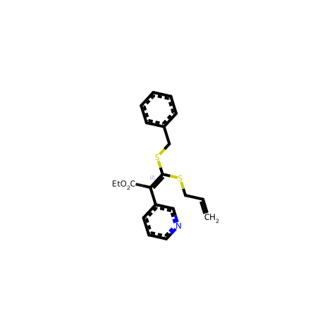 C=CCS/C(SCc1ccccc1)=C(/C(=O)OCC)c1cccnc1